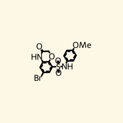 COc1ccc(NS(=O)(=O)c2cc(Br)cc3c2OCC(=O)N3)cc1